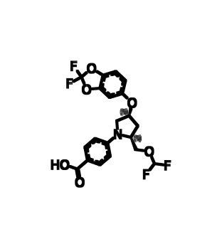 O=C(O)c1ccc(N2C[C@@H](Oc3ccc4c(c3)OC(F)(F)O4)C[C@H]2COC(F)F)cc1